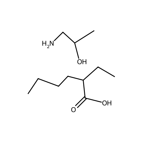 CC(O)CN.CCCCC(CC)C(=O)O